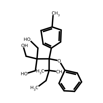 CCC(C)(C)C(Oc1ccccc1)(c1ccc(C)cc1)C(CO)(CO)CO